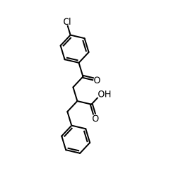 O=C(CC(Cc1ccccc1)C(=O)O)c1ccc(Cl)cc1